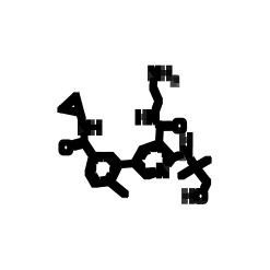 Cc1ccc(C(=O)NC2CC2)cc1-c1cnc(NC(C)(C)CO)c(C(=O)NCCN)c1